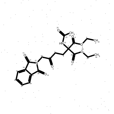 CCOC(=O)C(CCC(=O)CN1C(=O)c2ccccc2C1=O)(NC(C)=O)C(=O)OCC